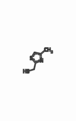 Cc1csc(CS)n1